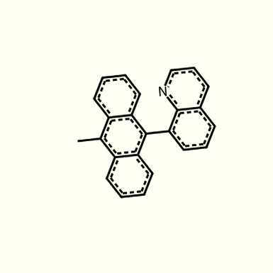 Cc1c2ccccc2c(-c2cccc3cccnc23)c2ccccc12